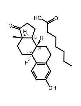 CCCCCCC(=O)O.C[C@]12CC[C@@H]3c4ccc(O)cc4CC[C@H]3[C@@H]1CCC2=O